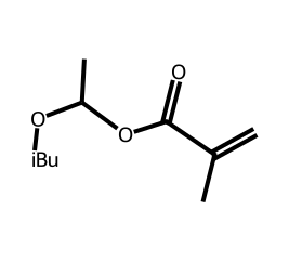 C=C(C)C(=O)OC(C)OC(C)CC